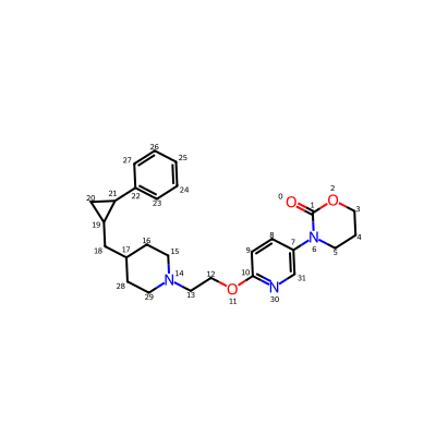 O=C1OCCCN1c1ccc(OCCN2CCC(CC3CC3c3ccccc3)CC2)nc1